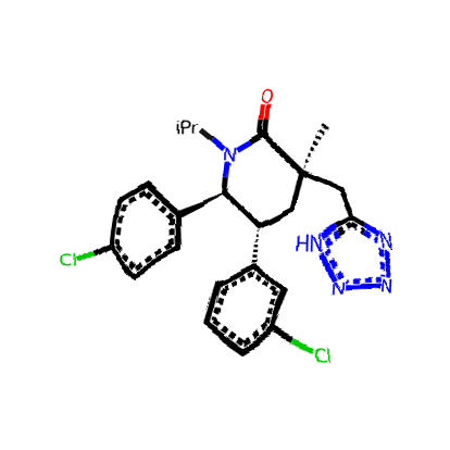 CC(C)N1C(=O)[C@@](C)(Cc2nnn[nH]2)C[C@H](c2cccc(Cl)c2)[C@H]1c1ccc(Cl)cc1